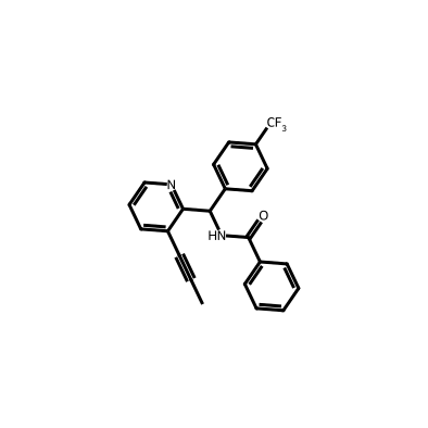 CC#Cc1cccnc1C(NC(=O)c1ccccc1)c1ccc(C(F)(F)F)cc1